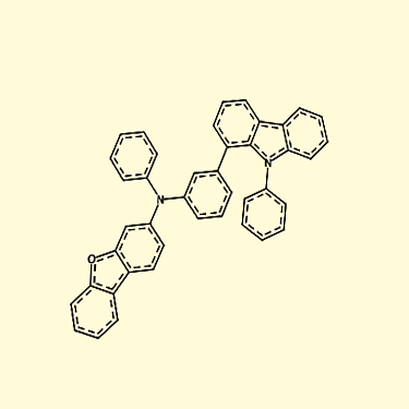 c1ccc(N(c2cccc(-c3cccc4c5ccccc5n(-c5ccccc5)c34)c2)c2ccc3c(c2)oc2ccccc23)cc1